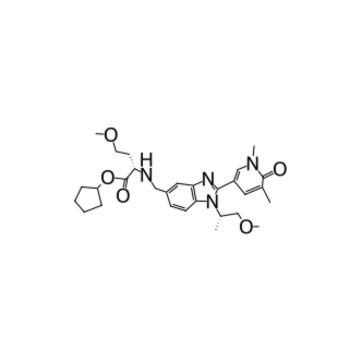 COCC[C@H](NCc1ccc2c(c1)nc(-c1cc(C)c(=O)n(C)c1)n2[C@@H](C)COC)C(=O)OC1CCCC1